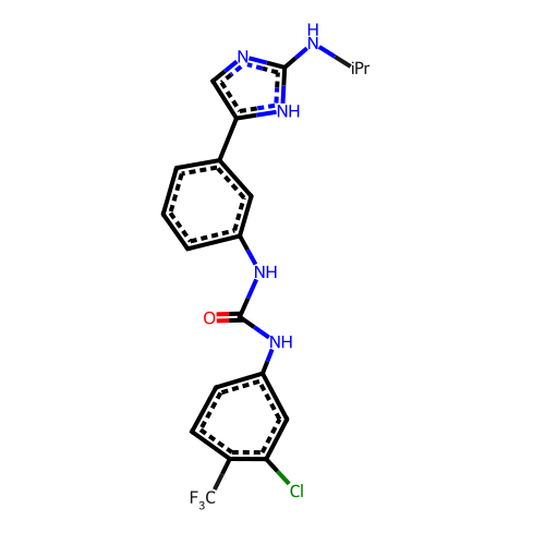 CC(C)Nc1ncc(-c2cccc(NC(=O)Nc3ccc(C(F)(F)F)c(Cl)c3)c2)[nH]1